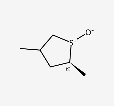 CC1C[C@H](C)[S+]([O-])C1